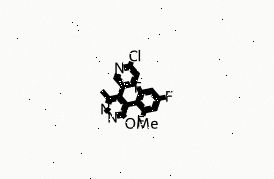 COc1nnc(C)c(-c2ccc(Cl)nc2)c1-c1c(F)cc(F)cc1F